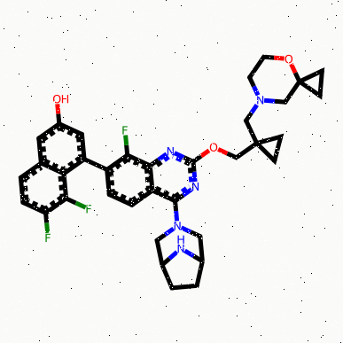 Oc1cc(-c2ccc3c(N4CC5CCC(C4)N5)nc(OCC4(CN5CCOC6(CC6)C5)CC4)nc3c2F)c2c(F)c(F)ccc2c1